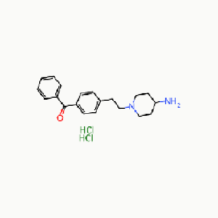 Cl.Cl.NC1CCN(CCc2ccc(C(=O)c3ccccc3)cc2)CC1